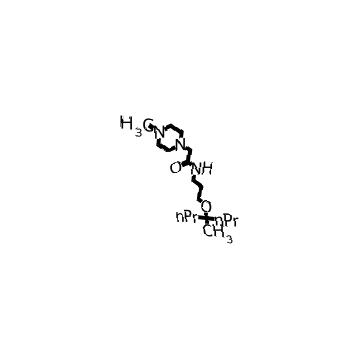 CCCC(C)(CCC)OCCCNC(=O)CN1CCN(C)CC1